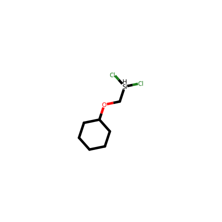 Cl[SiH](Cl)COC1CCCCC1